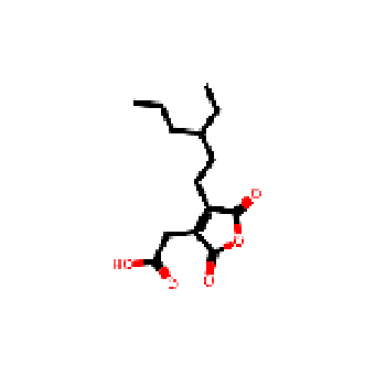 CCCC(CC)CCC1=C(CC(=O)O)C(=O)OC1=O